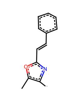 [CH2]c1nc(C=Cc2ccccc2)oc1C